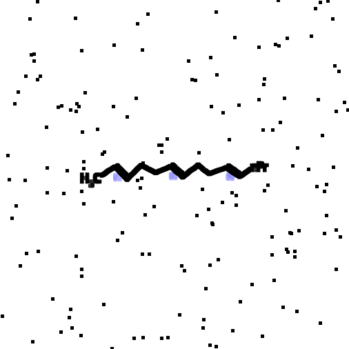 [CH2]CC/C=C/CC/C=C/CC/C=C/C